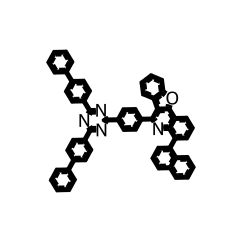 c1ccc(-c2ccc(-c3nc(-c4ccc(-c5ccccc5)cc4)nc(-c4ccc(-c5nc6c(-c7cccc8ccccc78)cccc6c6oc7ccccc7c56)cc4)n3)cc2)cc1